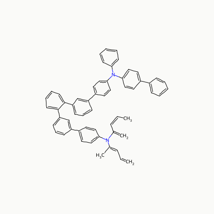 C=C/C=C(\C)N(C(=C)/C=C\C)c1ccc(-c2cccc(-c3ccccc3-c3cccc(-c4ccc(N(c5ccccc5)c5ccc(-c6ccccc6)cc5)cc4)c3)c2)cc1